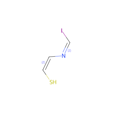 S/C=C\N=C/I